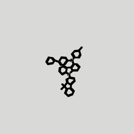 Cc1ccc(N(c2ccc(-c3ccccc3)cc2)c2cccc3c2c2ccccc2n3-c2ccc3c(c2)C(C)(C)c2ccccc2-3)cc1